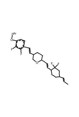 C/C=C/C1CCC(/C=C/C2CCC(/C=C/c3ccc(OCCC)c(F)c3F)CO2)C(F)(F)C1